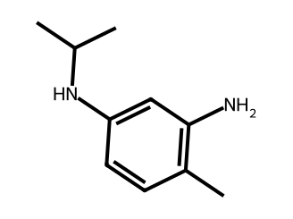 Cc1ccc(NC(C)C)cc1N